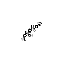 O=C(Nc1ccc(-c2nc3ccc([N+](=O)[O-])cc3n2O)cc1)c1ccc(-c2ncccn2)cc1